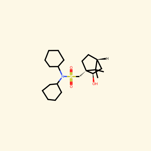 CC1(C)[C@@H]2CC[C@]1(CS(=O)(=O)N(C1CCCCC1)C1CCCCC1)[C@H](O)C2